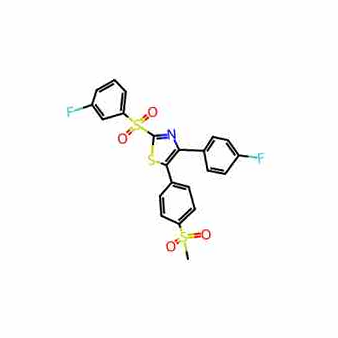 CS(=O)(=O)c1ccc(-c2sc(S(=O)(=O)c3cccc(F)c3)nc2-c2ccc(F)cc2)cc1